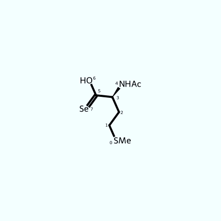 CSCC[C@H](NC(C)=O)C(O)=[Se]